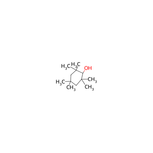 CC1(C)CC(C)(C)C(O)C(C)(C)C1